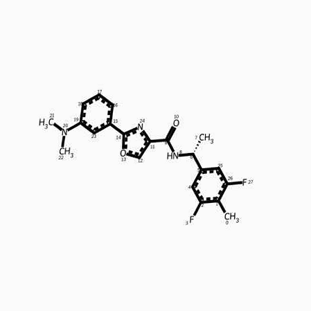 Cc1c(F)cc([C@@H](C)NC(=O)c2coc(-c3cccc(N(C)C)c3)n2)cc1F